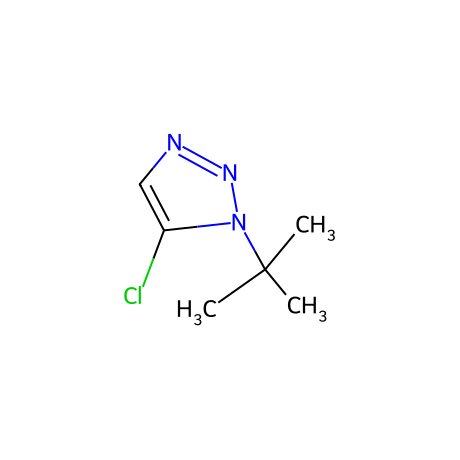 CC(C)(C)n1nncc1Cl